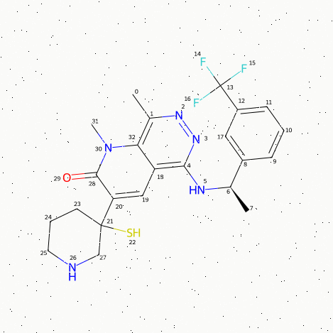 Cc1nnc(N[C@H](C)c2cccc(C(F)(F)F)c2)c2cc(C3(S)CCCNC3)c(=O)n(C)c12